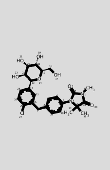 CN1C(=O)N(c2ccc(Cc3cc([C@@H]4O[C@H](CO)[C@@H](O)[C@H](O)[C@@H]4O)ccc3Cl)cc2)C(C)(C)C1=O